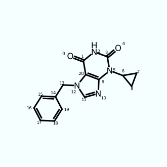 O=c1[nH]c(=O)n(C2CC2)c2ncn(Cc3ccccc3)c12